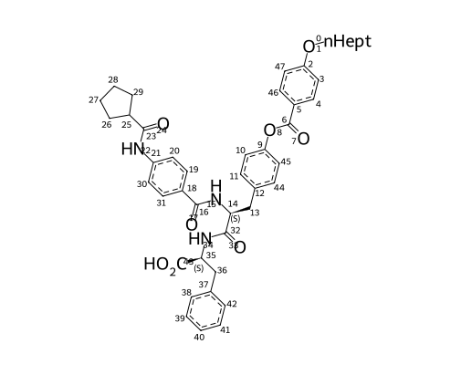 CCCCCCCOc1ccc(C(=O)Oc2ccc(C[C@H](NC(=O)c3ccc(NC(=O)C4CCCC4)cc3)C(=O)N[C@@H](Cc3ccccc3)C(=O)O)cc2)cc1